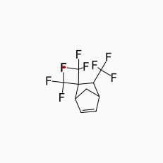 FC(F)(F)C1C2C=CC(C2)C1(C(F)(F)F)C(F)(F)F